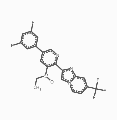 CC[S+]([O-])c1cc(-c2cc(F)cc(F)c2)cnc1-c1cn2ccc(C(F)(F)F)cc2n1